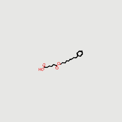 O=C(O)CCCCC(=O)OCCCCCCCCCc1ccccc1